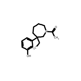 CCC1(c2cccc(O)c2)CCCCN(C(C)=O)C1